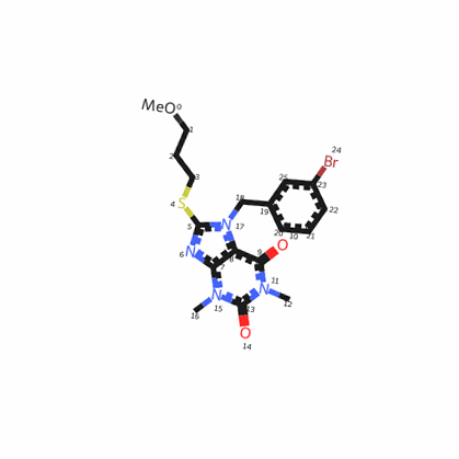 COCCCSc1nc2c(c(=O)n(C)c(=O)n2C)n1Cc1cccc(Br)c1